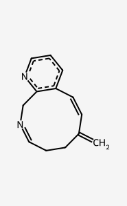 C=C1/C=C\c2cccnc2C/N=C\CC1